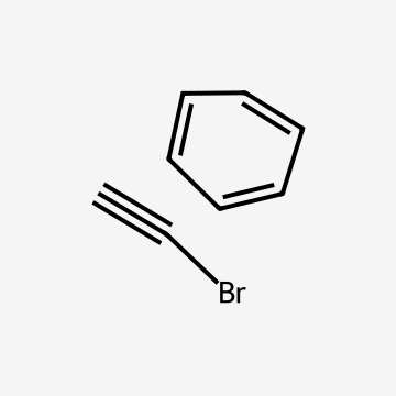 C#CBr.c1ccccc1